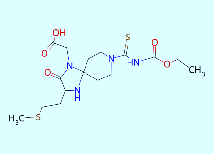 CCOC(=O)NC(=S)N1CCC2(CC1)NC(CCSC)C(=O)N2CC(=O)O